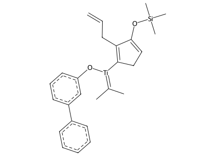 C=CCC1=[C]([Ti]([O]c2cccc(-c3ccccc3)c2)=[C](C)C)CC=C1O[Si](C)(C)C